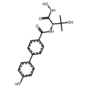 CCCc1ccc(-c2ccc(C(=O)N[C@@H](C(=O)NO)C(C)(C)O)cc2)cc1